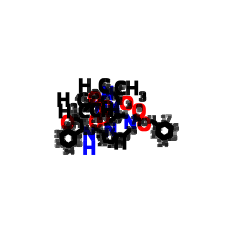 C[C@@H](C(=O)N[C@H]1CN(C(=O)OCc2ccccc2)CC[C@H]2CC[C@@H](C(=O)NC3CCOc4ccccc43)N2C1=O)N(C)C(=O)OC(C)(C)C